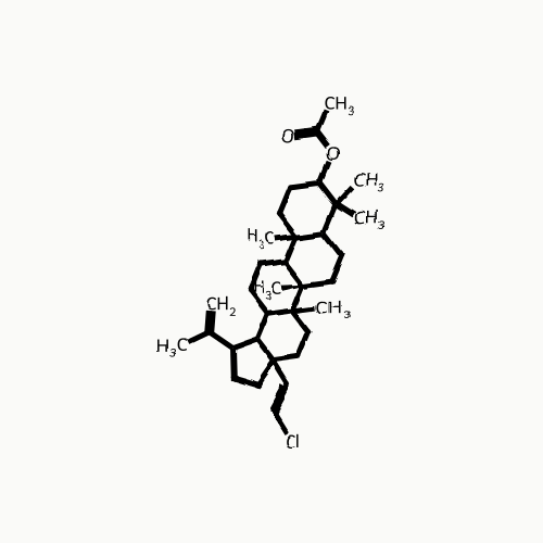 C=C(C)C1CCC2(/C=C/Cl)CCC3(C)C(CCC4C5(C)CCC(OC(C)=O)C(C)(C)C5CC[C@@]43C)C12